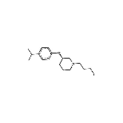 CC(C)c1ccc(O[C@@H]2CCCN(CCCF)C2)cc1